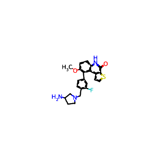 COc1ccc2[nH]c(=O)c3sccc3c2c1-c1ccc(CN2CCC(N)C2)c(F)c1